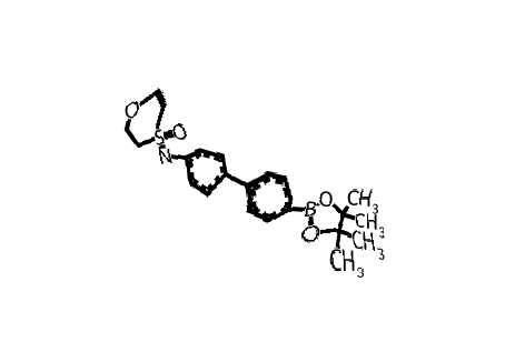 CC1(C)OB(c2ccc(-c3ccc(N=S4(=O)CCOCC4)cc3)cc2)OC1(C)C